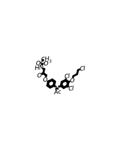 CC(=O)N(c1ccc(OCC(=O)CNS(C)(=O)=O)cc1)c1cc(Cl)c(OCCCCl)c(Cl)c1